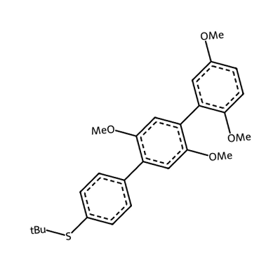 COc1ccc(OC)c(-c2cc(OC)c(-c3ccc(SC(C)(C)C)cc3)cc2OC)c1